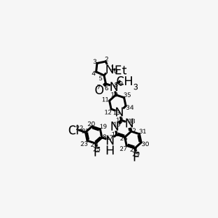 CCN1CCCC1C(=O)N(C)C1CCN(c2nc(Nc3ccc(Cl)cc3F)c3cc(F)ccc3n2)CC1